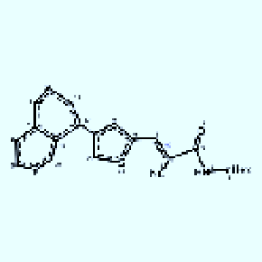 CCCCCCNC(=O)/C(C#N)=C/c1cc(-c2cccc3ccccc23)cs1